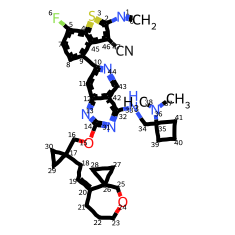 C=Nc1sc2c(F)ccc(-c3cc4nc(OCC5(C/C=C6/CCCOCC67CC7)CC5)nc(NCC5(N(C)C)CCC5)c4cn3)c2c1C#N